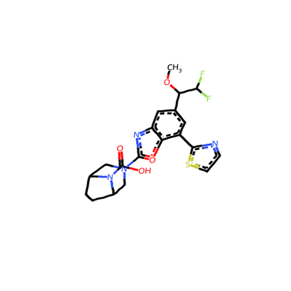 COC(c1cc(-c2nccs2)c2oc(N3CC4CCC(C3)N4C(=O)O)nc2c1)C(F)F